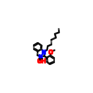 CCCCCCCCN1c2ccccc2CN(O)C1c1ccccc1OC